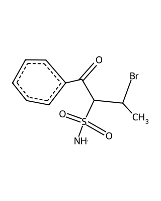 CC(Br)C(C(=O)c1ccccc1)S([NH])(=O)=O